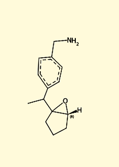 CC(c1ccc(CN)cc1)C12CCC[C@H]1O2